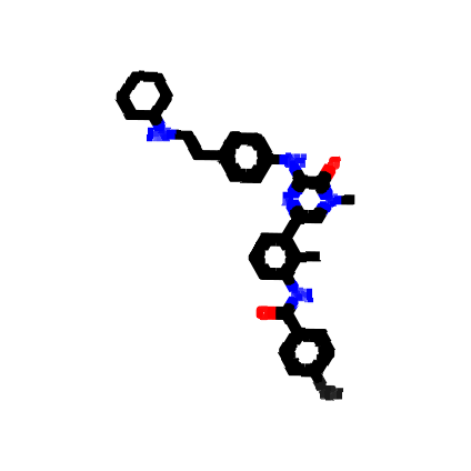 Cc1c(NC(=O)c2ccc(C(C)(C)C)cc2)cccc1-c1cn(C)c(=O)c(Nc2ccc(CCNC3CCCCC3)cc2)n1